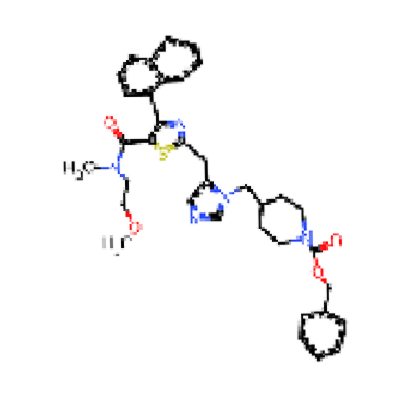 COCCN(C)C(=O)c1sc(Cc2cncn2CC2CCN(C(=O)OCc3ccccc3)CC2)nc1-c1cccc2ccccc12